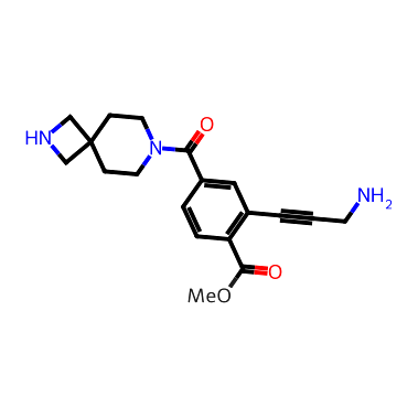 COC(=O)c1ccc(C(=O)N2CCC3(CC2)CNC3)cc1C#CCN